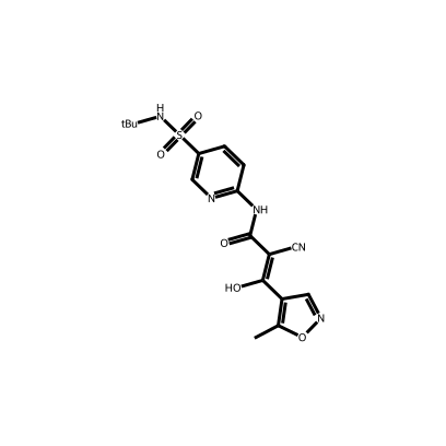 Cc1oncc1/C(O)=C(\C#N)C(=O)Nc1ccc(S(=O)(=O)NC(C)(C)C)cn1